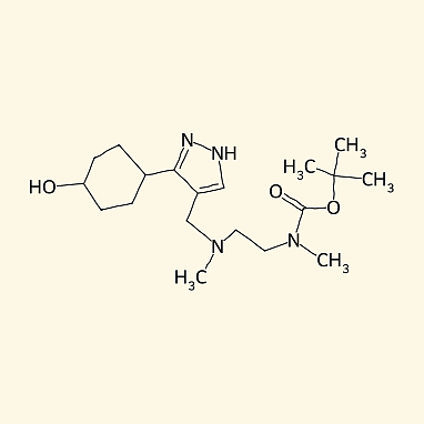 CN(CCN(C)C(=O)OC(C)(C)C)Cc1c[nH]nc1C1CCC(O)CC1